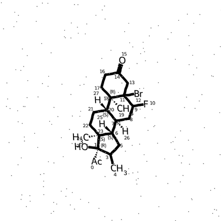 CC(=O)[C@@]1(O)C(C)C[C@H]2[C@@H]3CC(F)C4(Br)CC(=O)CC[C@]4(C)[C@H]3CC[C@@]21C